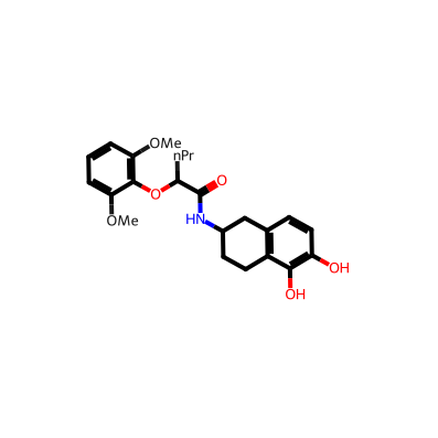 CCCC(Oc1c(OC)cccc1OC)C(=O)NC1CCc2c(ccc(O)c2O)C1